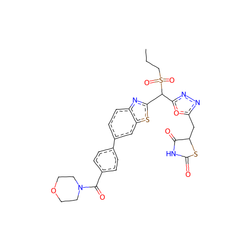 CCCS(=O)(=O)C(c1nnc(CC2SC(=O)NC2=O)o1)c1nc2ccc(-c3ccc(C(=O)N4CCOCC4)cc3)cc2s1